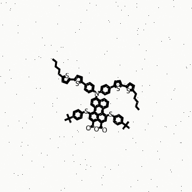 CCCCCc1ccc(-c2ccc(-c3ccc(N(c4ccc(-c5ccc(-c6ccc(CCCCC)s6)s5)cc4)c4ccc5c6c(Sc7ccc(C(C)(C)C)cc7)cc7c8c(cc(Sc9ccc(C(C)(C)C)cc9)c(c9cccc4c95)c86)C(=O)OC7=O)cc3)s2)s1